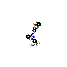 COC(=O)c1ccc(C(=O)NC(CCN2CC3CN(C(=O)c4c(F)cccc4Cl)C[C@@H]3C2)c2ccccc2)cc1